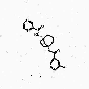 O=C(N[C@]12CCC[C@](NC(=O)c3cnccn3)(CC1)C2)c1cccc(F)c1